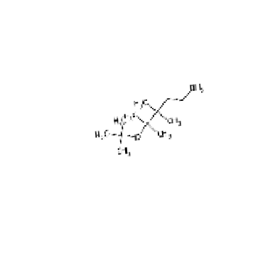 BCCC(C)(C)C(C)(C)OC(C)(C)C